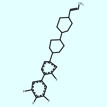 C/C=C/C1CCC(C2CCC(c3ccc(-c4cc(F)c(F)c(F)c4)c(F)c3)CC2)CC1